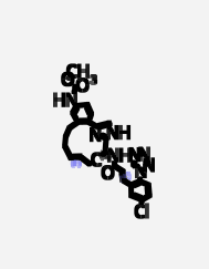 COC(=O)Nc1ccc2c(c1)CCC/C=C/CC[C@H](NC(=O)/C=C/c1cc(Cl)ccc1-n1cnnn1)c1nc-2c[nH]1